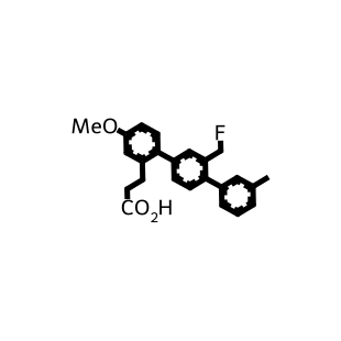 COc1ccc(-c2ccc(-c3cccc(C)c3)c(CF)c2)c(CCC(=O)O)c1